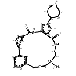 CN1CCCc2cc(ccn2)-c2nc(cs2)C(=O)Nc2cn(C3CCOCC3)nc2C(=O)NCC1